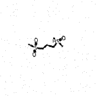 CS(=O)(=O)CCC[SH](C)(C)=O